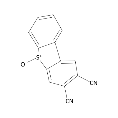 N#Cc1cc2c3ccccc3[s+]([O-])c2cc1C#N